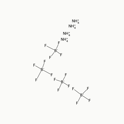 F[B-](F)(F)F.F[B-](F)(F)F.F[B-](F)(F)F.F[B-](F)(F)F.[NH4+].[NH4+].[NH4+].[NH4+]